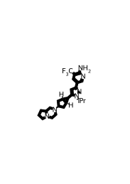 CC(C)n1nc(-c2cnc(N)c(C(F)(F)F)c2)cc1C1[C@H]2C[C@@H](N3CCN4CCCC4C3)C[C@@H]12